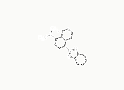 CN(C)c1ccc(-n2nc3ccccc3n2)c2ccccc12